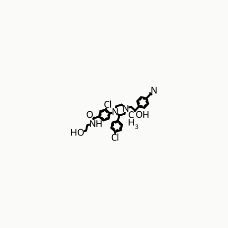 C[C@@](O)(CN1CCN(c2ccc(C(=O)NCCO)cc2Cl)C(c2ccc(Cl)cc2)C1)c1ccc(C#N)cc1